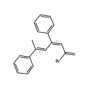 C=C(Br)/C=C(\C=C(/C)c1ccccc1)c1ccccc1